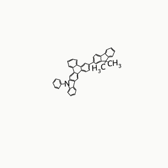 CC1(C)c2ccccc2-c2ccc(-c3ccc4c(c3)c3ccccc3c3cc5c(cc43)c3ccccc3n5-c3ccccc3)cc21